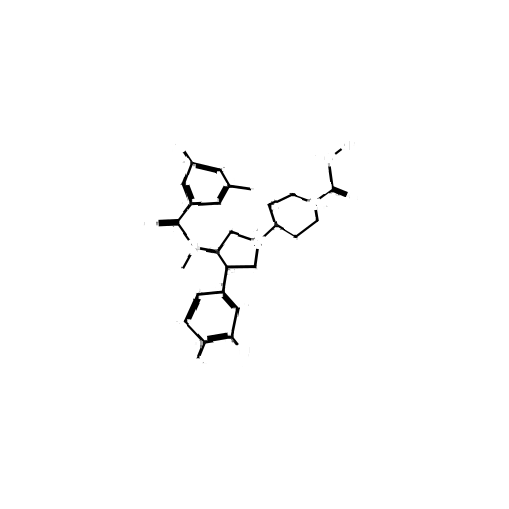 CN(C(=O)c1cc(C(F)(F)F)cc(C(F)(F)F)c1)C1CN(C2CCN(C(=O)OC(C)(C)C)CC2)CC1c1ccc(Cl)c(Cl)c1